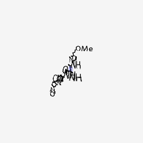 COCCCc1ccc(N/C(C)=C(\C=N)C(=O)Nc2ccc([C@]3(C#N)CC[C@@H](N4CCOCC4)CC3)nc2)nc1